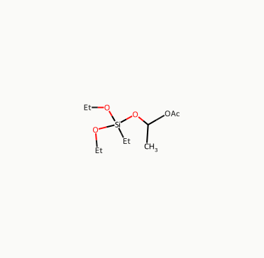 CCO[Si](CC)(OCC)OC(C)OC(C)=O